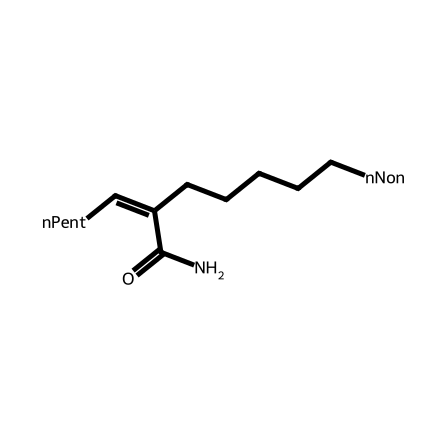 CCCCCC=C(CCCCCCCCCCCCCC)C(N)=O